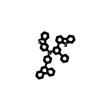 c1ccc(-c2cc(-c3cccc4c3sc3ccccc34)cc(N(c3ccc(-c4cc5ccccc5c5ccccc45)cc3)c3ccc4sc5ccccc5c4c3)c2)cc1